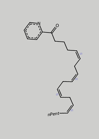 CCCCC/C=C\C/C=C\C/C=C\C/C=C\CCCC(=O)c1ccccn1